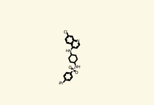 CC(C)c1ccc(S(=O)(=O)NC2CCC(Nc3ccnc4cc(Cl)ccc34)CC2)cc1